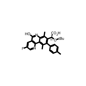 Cc1ccc(-c2c([C@H](OC(C)(C)C)C(=O)O)c(C)c3nc(O)c4cc(F)cnc4c3c2C)cc1